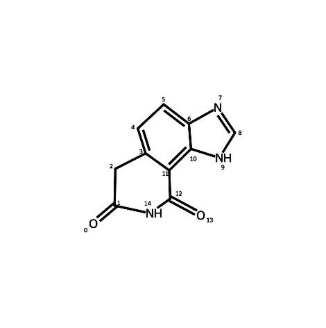 O=C1Cc2ccc3nc[nH]c3c2C(=O)N1